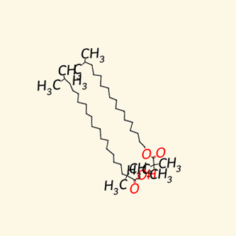 CC(C)CCCCCCCCCCCCCCCCC(C)(C)C(=O)O.CC(C)CCCCCCCCCCCCCCCOC(=O)C(C)(C)C